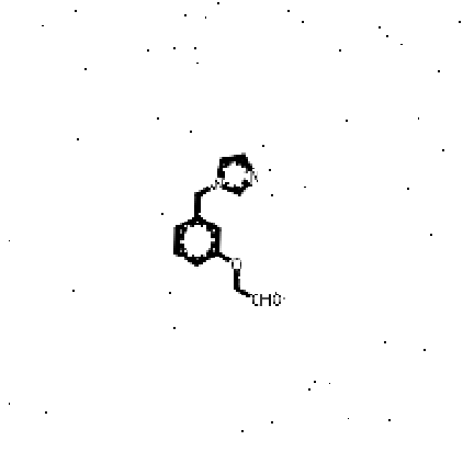 O=[C]COc1cccc(Cn2ccnc2)c1